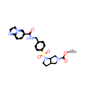 CC(C)(C)OC(=O)N1CC2CCN(S(=O)(=O)c3ccc(CNC(=O)c4ccc5nccn5c4)cc3)C2C1